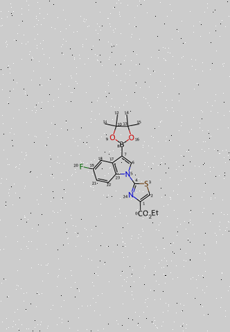 CCOC(=O)c1csc(-n2cc(B3OC(C)(C)C(C)(C)O3)c3cc(F)ccc32)n1